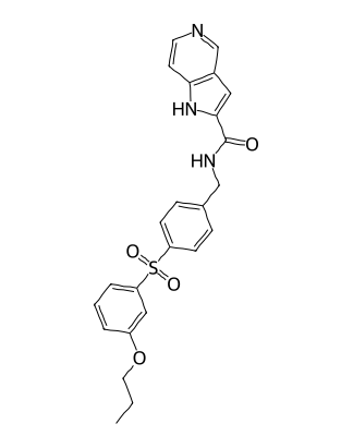 CCCOc1cccc(S(=O)(=O)c2ccc(CNC(=O)c3cc4cnccc4[nH]3)cc2)c1